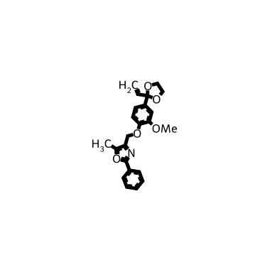 C=CC1(c2ccc(OCc3nc(-c4ccccc4)oc3C)c(OC)c2)OCCO1